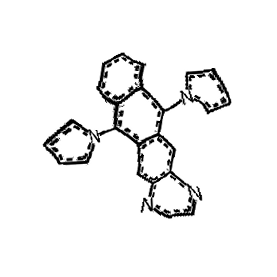 c1ccc2c(-n3cccc3)c3cc4nccnc4cc3c(-n3cccc3)c2c1